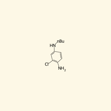 CCCCNc1ccc(N)c(Cl)c1